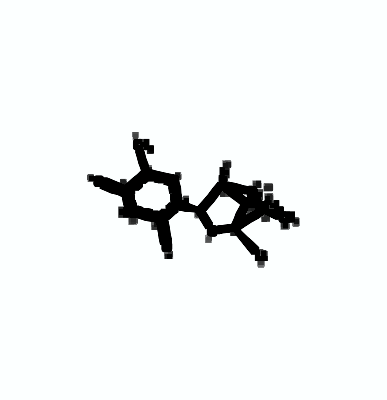 CC[C@]12O[C@@H](n3cc(C)c(=O)[nH]c3=O)[C@H](O[C@H]1C)[C@@H]2C